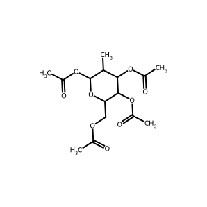 CC(=O)OCC1OC(OC(C)=O)C(C)C(OC(C)=O)C1OC(C)=O